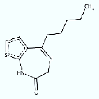 CCCCCC1=NCC(=O)Nc2sccc21